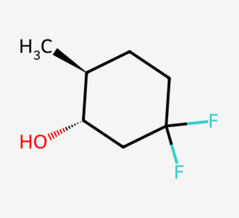 C[C@H]1CCC(F)(F)C[C@@H]1O